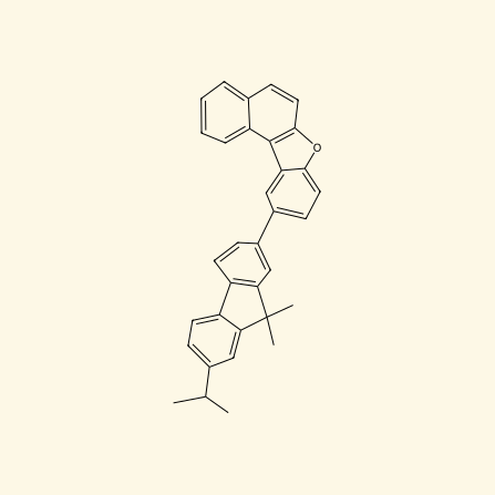 CC(C)c1ccc2c(c1)C(C)(C)c1cc(-c3ccc4oc5ccc6ccccc6c5c4c3)ccc1-2